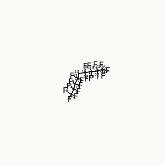 FC(F)(F)C(F)(F)C(F)(F)C(F)(F)CC(F)(F)C(F)(F)C(F)(I)C(F)(F)F